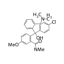 CNC(=O)c1cc(OC)ccc1C(O)(c1ccc(Cl)cc1)c1ccccc1CN(C)C